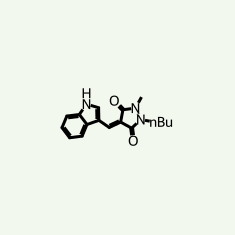 CCCCN1C(=O)/C(=C/c2c[nH]c3ccccc23)C(=O)N1C